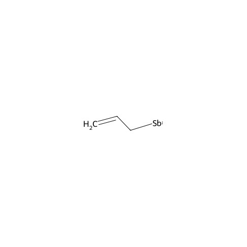 C=C[CH2][Sb]